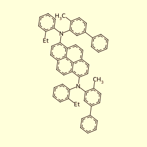 CCc1ccccc1N(c1cc(-c2ccccc2)ccc1C)c1ccc2ccc3c(N(c4cc(-c5ccccc5)ccc4C)c4ccccc4CC)ccc4ccc1c2c43